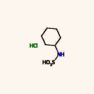 Cl.O=S(=O)(O)NC1CCCCC1